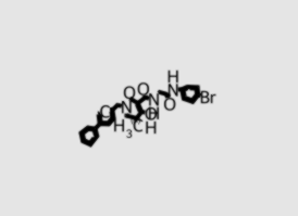 C[C@@H]1CN(Cc2ccc(-c3ccccc3)cc2)C(=O)C(C(=O)NCC(=O)Nc2ccc(Br)cc2)=C1O